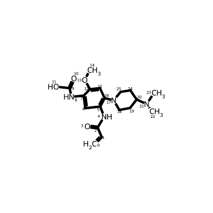 C=CC(=O)Nc1cc(NC(=O)O)c(OC)cc1N1CCC(N(C)C)CC1